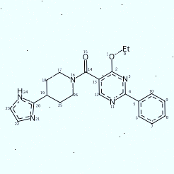 CCOc1nc(-c2ccccc2)ncc1C(=O)N1CCC(c2ncc[nH]2)CC1